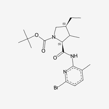 CC[C@@H]1CN(C(=O)OC(C)(C)C)[C@H](C(=O)Nc2nc(Br)ccc2C)C1C